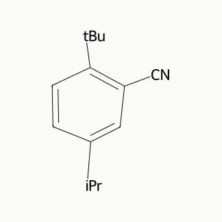 CC(C)c1ccc(C(C)(C)C)c(C#N)c1